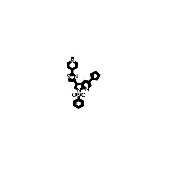 CN1CCC(c2nc(C3CN(S(=O)(=O)c4ccccc4)c4ncc(C5=CCCC5)cc43)cs2)CC1